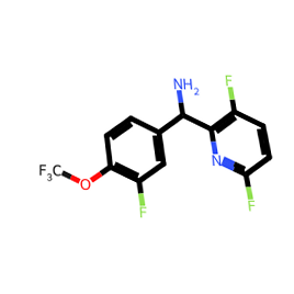 NC(c1ccc(OC(F)(F)F)c(F)c1)c1nc(F)ccc1F